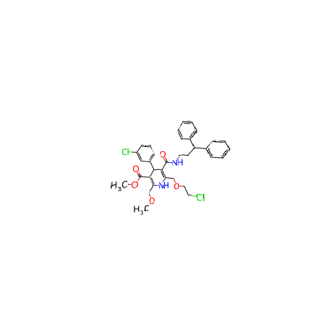 COCC1=C(C(=O)OC)C(c2cccc(Cl)c2)C(C(=O)NCCC(c2ccccc2)c2ccccc2)=C(COCCCl)N1